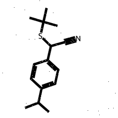 CC(C)c1ccc(C(C#N)SC(C)(C)C)cc1